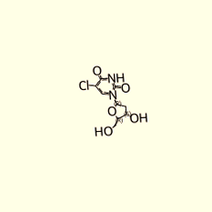 O=c1[nH]c(=O)n([C@H]2C[C@H](O)[C@@H](CO)O2)cc1Cl